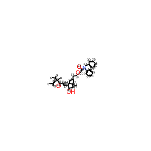 CC(C)=C1C(C)(C)C1(C)C(=O)C=C[C@H]1[C@@H]2CC(CCOCC(=O)N(Cc3ccccc3)c3ccccc3)C[C@H]2C[C@@H]1O